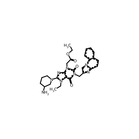 CCOC(=O)Cn1c(=O)n(Cc2cn3c(ccc4ccccc43)n2)c(=O)c2c1nc(N1CCCC(N)C1)n2CC